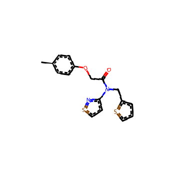 Cc1ccc(OCC(=O)N(Cc2cccs2)c2ccsn2)cc1